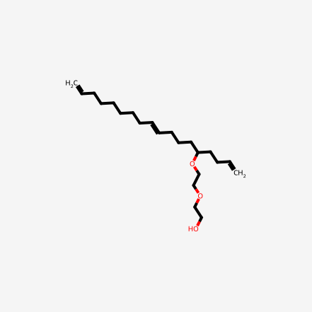 C=CCCCCCC/C=C/CCCC(CCC=C)OCCOCCO